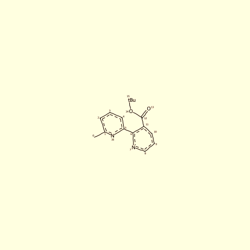 Cc1cccc(-c2ncccc2C(=O)OC(C)(C)C)n1